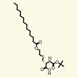 CCCCCCCCCCCCCC(=O)OCCSC[C@H](NC(=O)OC(C)(C)C)C(=O)O